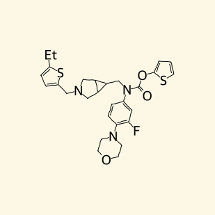 CCc1ccc(CN2CC3C(C2)C3CN(C(=O)Oc2cccs2)c2ccc(N3CCOCC3)c(F)c2)s1